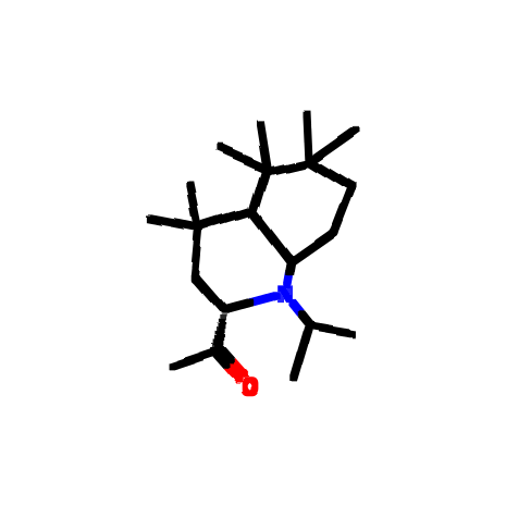 CC(=O)[C@@H]1CC(C)(C)C2C(CCC(C)(C)C2(C)C)N1C(C)C